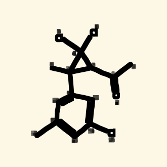 CC(=O)C1C(Cl)(Cl)C1(C)c1cc(C)cc(Cl)c1